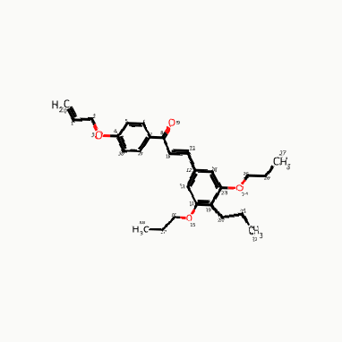 C=CCOc1ccc(C(=O)C=Cc2cc(OCCC)c(CCC)c(OCCC)c2)cc1